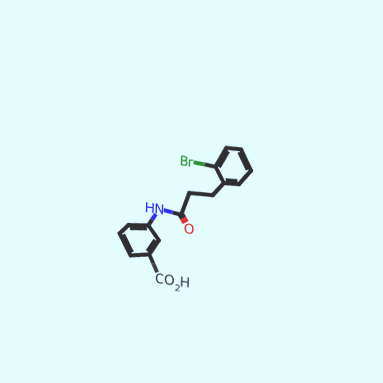 O=C(CCc1ccccc1Br)Nc1cccc(C(=O)O)c1